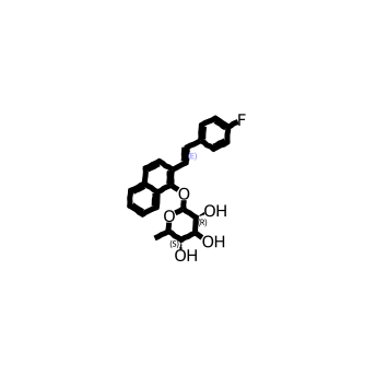 CC1OC(Oc2c(/C=C/c3ccc(F)cc3)ccc3ccccc23)[C@H](O)C(O)[C@@H]1O